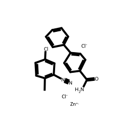 Cc1ccc(Cl)cc1[N+]#N.NC(=O)c1ccc(-c2ccccc2)cc1.[Cl-].[Cl-].[Zn+]